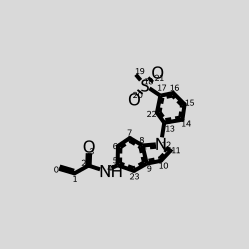 C=CC(=O)Nc1ccc2c(ccn2-c2cccc(S(C)(=O)=O)c2)c1